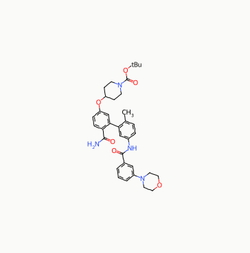 Cc1ccc(NC(=O)c2cccc(N3CCOCC3)c2)cc1-c1cc(OC2CCN(C(=O)OC(C)(C)C)CC2)ccc1C(N)=O